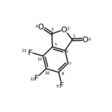 O=C1OC(=O)c2c1cc(F)c(F)c2F